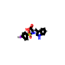 O=C(O)[C@H](Cc1c[nH]c2ccccc12)NS(=O)(=O)c1ccc(I)cc1